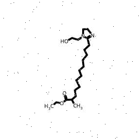 CCOC(=O)C(C)CCCCCCCCCCCC1=NCCN1CCO